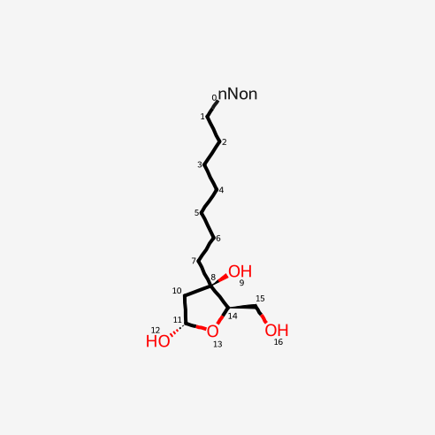 CCCCCCCCCCCCCCCC[C@@]1(O)C[C@@H](O)O[C@@H]1CO